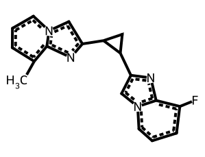 Cc1cccn2cc(C3CC3c3cn4cccc(F)c4n3)nc12